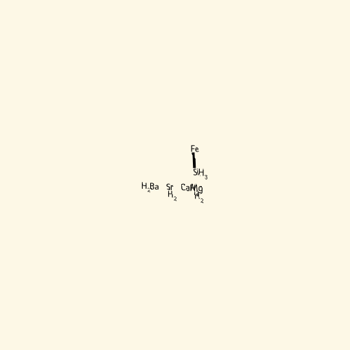 [BaH2].[CaH2].[MgH2].[SiH3][Fe].[SrH2]